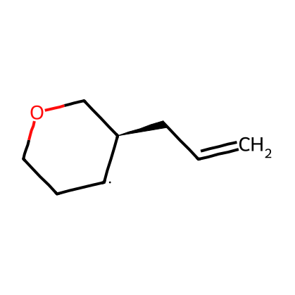 C=CC[C@H]1[CH]CCOC1